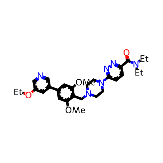 CCOc1cncc(-c2cc(OC)c(CN3CCN(c4ccc(C(=O)N(CC)CC)nn4)CC3)c(OC)c2)c1